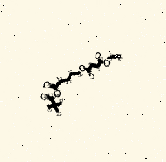 CCOC(=O)/C=C/C(=O)OCCCCC(=O)OC(=O)C(C)(C)C